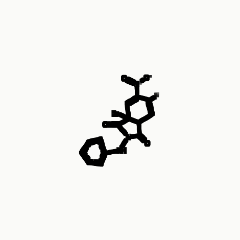 O=C1C2C=C(F)C([N+](=O)[O-])=CC2(Br)C(=O)N1Nc1ccccc1